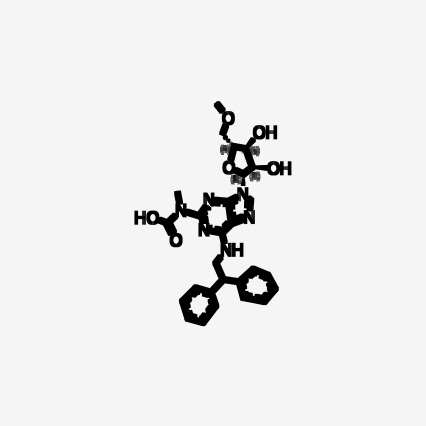 COC[C@H]1O[C@@H](n2cnc3c(NCC(c4ccccc4)c4ccccc4)nc(N(C)C(=O)O)nc32)[C@H](O)[C@@H]1O